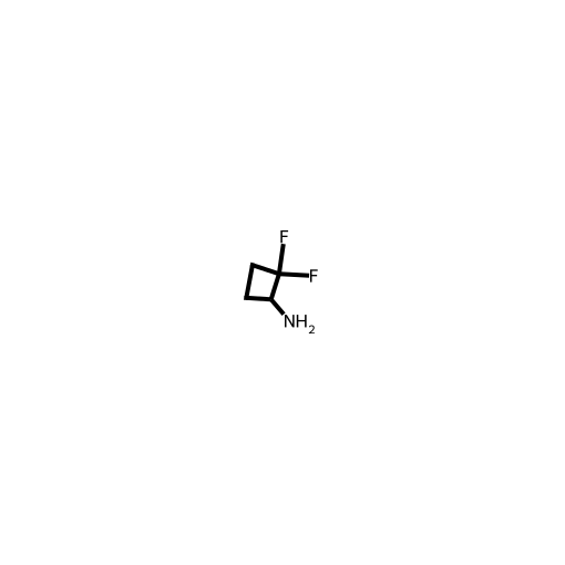 NC1CCC1(F)F